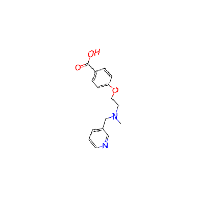 CN(CCOc1ccc(C(=O)O)cc1)Cc1cccnc1